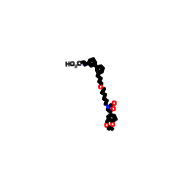 CC1(C)OCc2cc([C@@H]3CN(CCCCCCOCCCCc4cccc(-c5cccc(/C=C/C(=O)O)c5)c4)C(=O)O3)ccc2O1